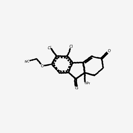 CCCC12CCC(=O)C=C1c1c(cc(OCC#N)c(Cl)c1Cl)C2=O